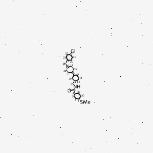 CSc1ccc(C(=O)NCc2cccc(C3CCN(Cc4ccc(Cl)cc4)CC3)c2)cc1